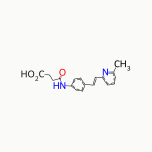 Cc1cccc(/C=C/c2ccc(NC(=O)CCC(=O)O)cc2)n1